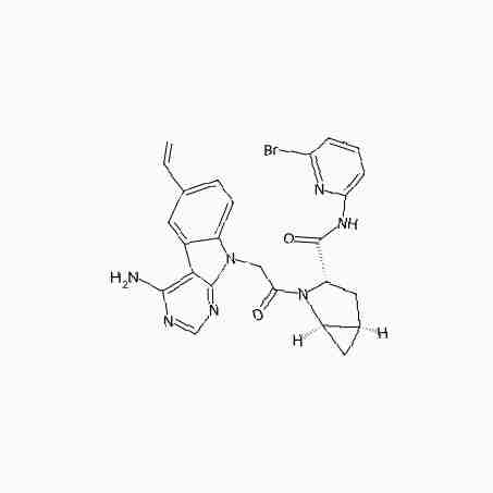 C=Cc1ccc2c(c1)c1c(N)ncnc1n2CC(=O)N1[C@@H]2C[C@@H]2C[C@H]1C(=O)Nc1cccc(Br)n1